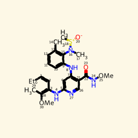 CC/C=C\C(Nc1cc(Nc2cccc(C)c2N(C)[S+](C)[O-])c(C(=O)NOC)cn1)=C(/C)OC